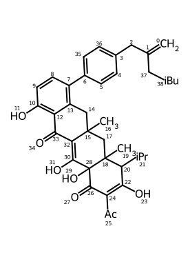 C=C(Cc1ccc(-c2ccc(O)c3c2CC2(C)CC4(C)C(C(C)C)C(O)=C(C(C)=O)C(=O)C4(O)C(O)=C2C3=O)cc1)CC(C)CC